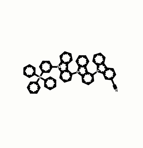 N#Cc1ccc2c3ccccc3n(-c3cccc4c3c3ccccc3n4-c3cccc4c3c3ccccc3n4-c3cccc([Si](c4ccccc4)(c4ccccc4)c4ccccc4)c3)c2c1